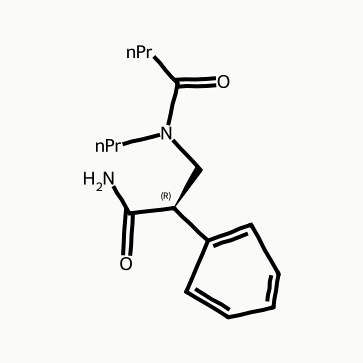 CCCC(=O)N(CCC)C[C@H](C(N)=O)c1ccccc1